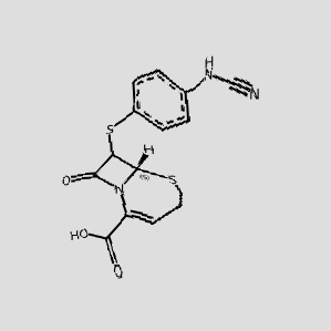 N#CNc1ccc(SC2C(=O)N3C(C(=O)O)=CCS[C@@H]23)cc1